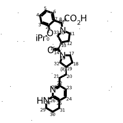 CC(C)Oc1ccccc1[C@H](C(=O)O)N1CC[C@@H](C(=O)N2CC[C@@H](CCc3ccc4c(n3)NCCC4)C2)C1